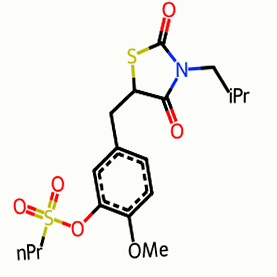 CCCS(=O)(=O)Oc1cc(CC2SC(=O)N(CC(C)C)C2=O)ccc1OC